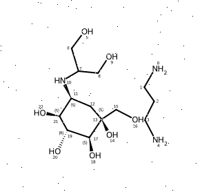 NCCCN.OCC(CO)N[C@H]1C[C@](O)(CO)[C@@H](O)[C@H](O)[C@H]1O